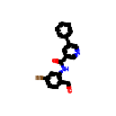 O=Cc1ccc(Br)cc1NC(=O)c1cncc(-c2ccccc2)c1